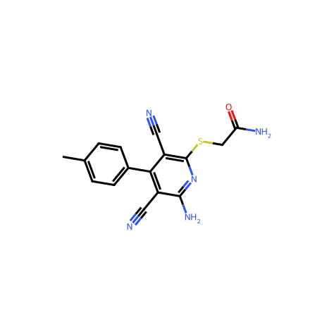 Cc1ccc(-c2c(C#N)c(N)nc(SCC(N)=O)c2C#N)cc1